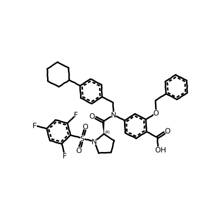 O=C(O)c1ccc(N(Cc2ccc(C3CCCCC3)cc2)C(=O)[C@H]2CCCN2S(=O)(=O)c2c(F)cc(F)cc2F)cc1OCc1ccccc1